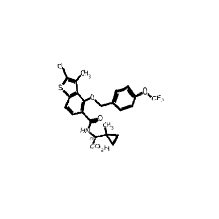 Cc1c(Cl)sc2ccc(C(=O)N[C@H](C(=O)O)C3(C)CC3)c(OCc3ccc(OC(F)(F)F)cc3)c12